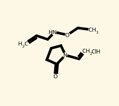 C=CCNOCC.C=CN1CCCC1=O.Cl